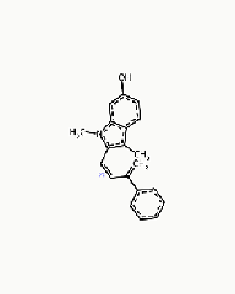 C=C(/C=C\c1c(C)c2ccc(O)cc2n1C)c1ccccc1